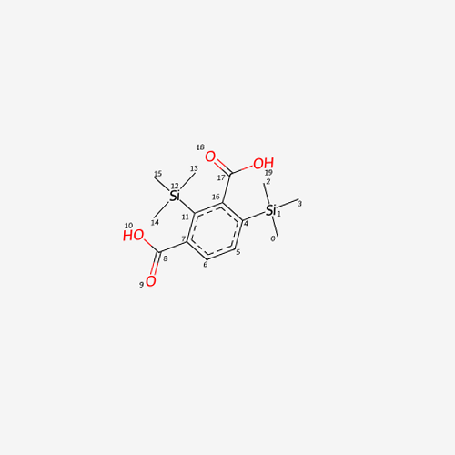 C[Si](C)(C)c1ccc(C(=O)O)c([Si](C)(C)C)c1C(=O)O